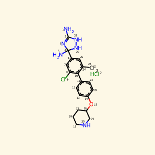 Cl.NC1=NC(N)(c2cc(Cl)c(-c3ccc(OC4CCCNC4)cc3)c(C(F)(F)F)c2)NN1